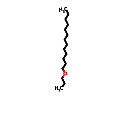 CCCCCCCCCCCC[CH]OCCC